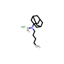 CCCCCN(C)C12CC3CC(CC(C3)C1)C2.Cl